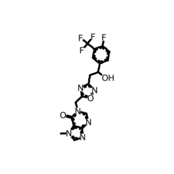 Cn1cnc2ncn(Cc3nc(CC(O)c4ccc(F)c(C(F)(F)F)c4)no3)c(=O)c21